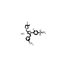 Cc1cccc(Cc2cc(CN3CCC(F)(F)C3)nn2-c2ccc(S(N)(=O)=O)cc2F)c1.Cl